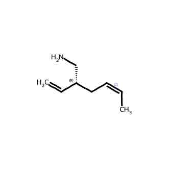 C=C[C@H](CN)C/C=C\C